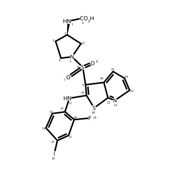 O=C(O)N[C@@H]1CCN(S(=O)(=O)c2c(Nc3ccc(I)cc3F)sc3ncccc23)C1